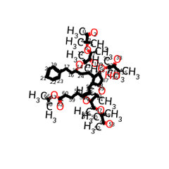 CC(=O)C(C)(C)O[C@@H](C)C(=O)C(C)(C)OC(CCc1ccccc1)CCC1C(OC(C)(C)C(=O)[C@H](C)O)CC(OC(C)(C)C(=O)[C@H](C)OC(C)(C)C(C)=O)C1C/C=C\CCCC(=O)OC(C)C